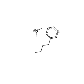 CCCCc1cccnc1.CNC